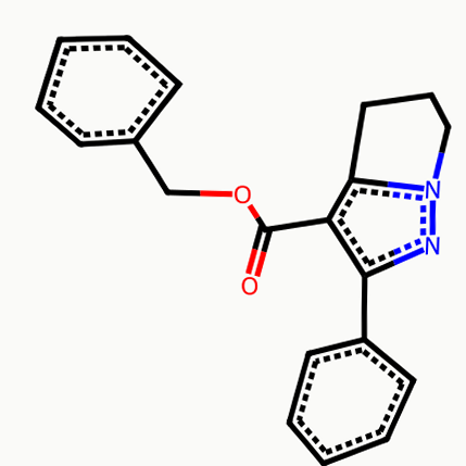 O=C(OCc1ccccc1)c1c(-c2ccccc2)nn2c1CCC2